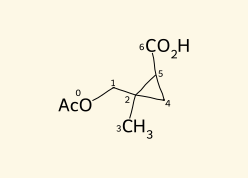 CC(=O)OCC1(C)CC1C(=O)O